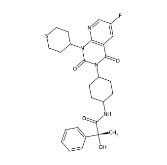 C[C@](O)(C(=O)NC1CCC(n2c(=O)c3cc(F)cnc3n(C3CCSCC3)c2=O)CC1)c1ccccc1